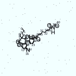 CCCCC1(CC)CS(=O)(=O)c2ccc(N(C)C)cc2C(c2cccc(NC(=O)CCCCCCC(=O)NCOC)c2)C1O